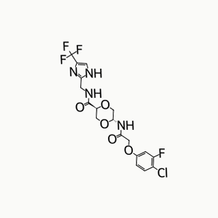 O=C(COc1ccc(Cl)c(F)c1)N[C@H]1CO[C@H](C(=O)NCc2nc(C(F)(F)F)c[nH]2)CO1